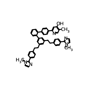 Cc1cnc(-c2ccc(-c3ccccc3-c3cc(CCc4ccc(-c5nccn5C)cc4)cc(CCc4ccc(-c5nccn5C)cc4)c3)cc2)cc1O